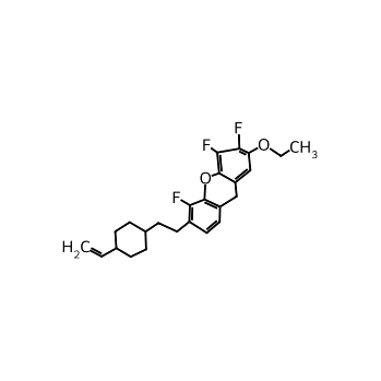 C=CC1CCC(CCc2ccc3c(c2F)Oc2c(cc(OCC)c(F)c2F)C3)CC1